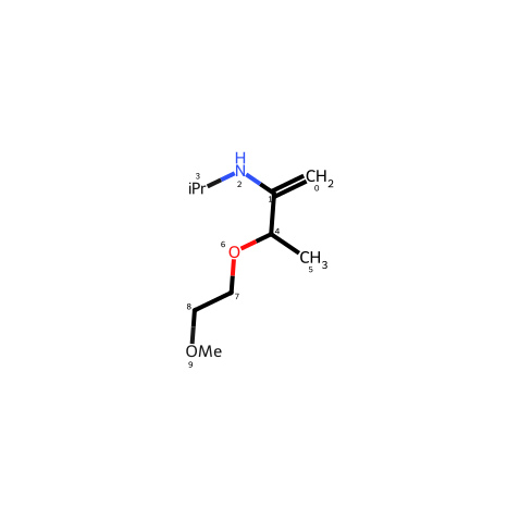 C=C(NC(C)C)C(C)OCCOC